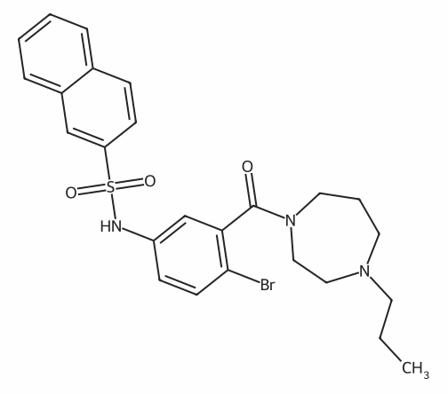 CCCN1CCCN(C(=O)c2cc(NS(=O)(=O)c3ccc4ccccc4c3)ccc2Br)CC1